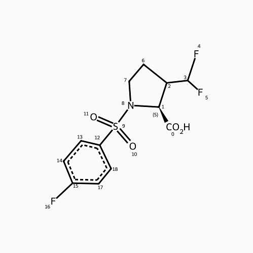 O=C(O)[C@@H]1C(C(F)F)CCN1S(=O)(=O)c1ccc(F)cc1